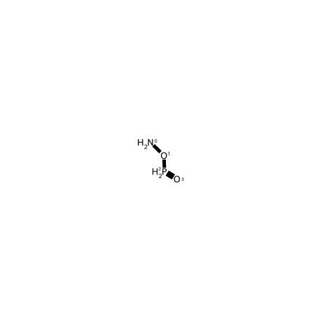 NO[PH2]=O